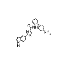 NC1CCN(c2ccccc2NC(=O)c2csc(-c3ccc4[nH]ccc4c3)n2)CC1